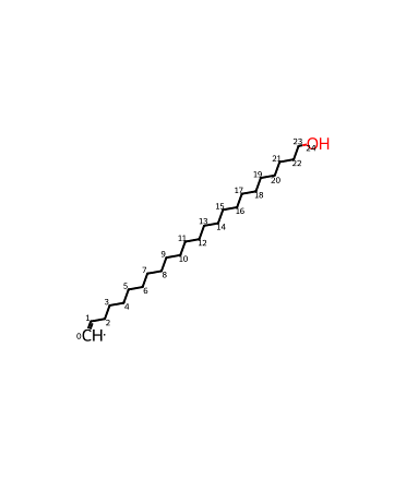 [CH]=CCCCCCCCCCCCCCCCCCCCCCCO